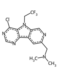 CN(C)Cc1cc2c3ncnc(Cl)c3n(CC(F)(F)F)c2cn1